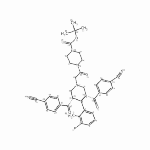 Cc1c(F)cccc1C1[C@@H](C(=O)c2ccc(C#N)cc2)CN(CC(=O)N2CCN(C(=O)OC(C)(C)C)CC2)C[C@H]1C(=O)c1ccc(C#N)cc1